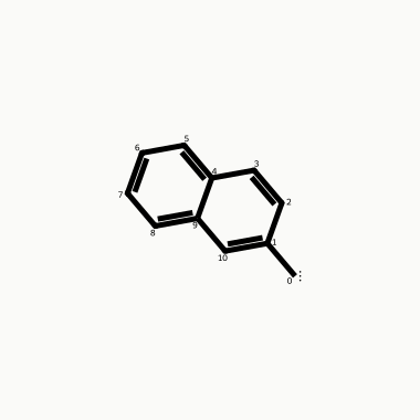 [C]c1ccc2ccccc2c1